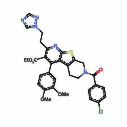 CCOC(=O)c1c(CCn2cncn2)nc2sc3c(c2c1-c1ccc(OC)c(OC)c1)CCN(C(=O)c1ccc(Cl)cc1)C3